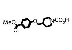 COC(=O)c1ccc(OCC2CCN(C(=O)O)CC2)cc1